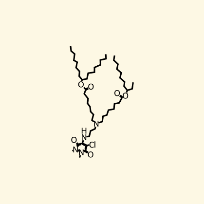 CCCCCCCCC(CC)OC(=O)CCCCCCCN(CCCCCCCC(=O)OC(CCCCCCCC)CCCCCCCC)CCCNc1c(Cl)c(=O)n(C)n(C)c1=O